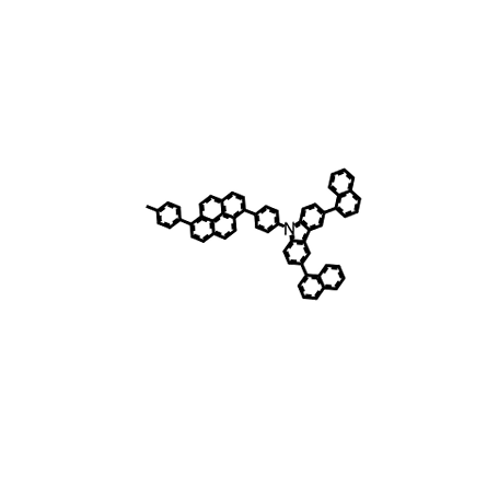 Cc1ccc(-c2ccc3ccc4c(-c5ccc(-n6c7ccc(-c8cccc9ccccc89)cc7c7cc(-c8cccc9ccccc89)ccc76)cc5)ccc5ccc2c3c54)cc1